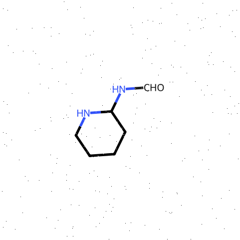 O=CNC1CCCCN1